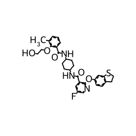 Cc1cccc(C(=O)NC2CCC(NC(=O)c3cc(F)cnc3Oc3ccc4c(c3)SCC4)CC2)c1OCCO